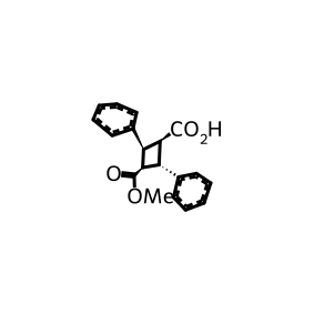 COC(=O)[C@H]1[C@@H](c2ccccc2)[C@@H](C(=O)O)[C@@H]1c1ccccc1